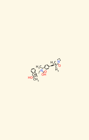 C[C@@H](c1ccc(C#CC(C)(C)C(=O)N2CCC2)cc1)N(CC[C@H](CC(C)(C)O)c1ccccc1)C(=O)O